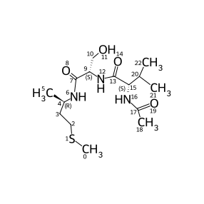 CSCC[C@@H](C)NC(=O)[C@H](CO)NC(=O)[C@@H](NC(C)=O)C(C)C